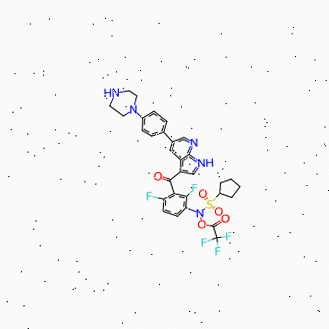 O=C(c1c(F)ccc(N(OC(=O)C(F)(F)F)S(=O)(=O)C2CCCC2)c1F)c1c[nH]c2ncc(-c3ccc(N4CCNCC4)cc3)cc12